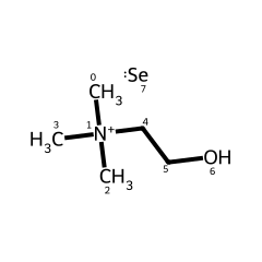 C[N+](C)(C)CCO.[Se]